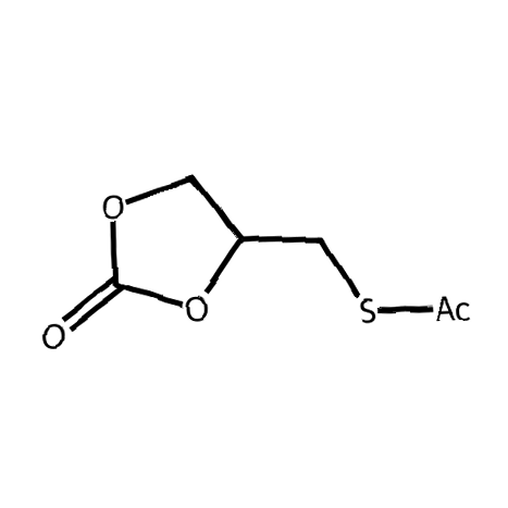 CC(=O)SCC1COC(=O)O1